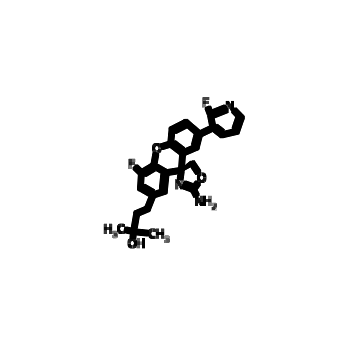 CC(C)(O)CCc1cc(F)c2c(c1)[C@]1(COC(N)=N1)c1cc(-c3cccnc3F)ccc1O2